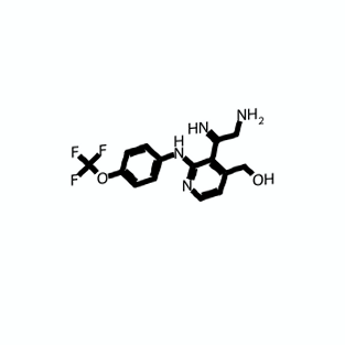 N=C(CN)c1c(CO)ccnc1Nc1ccc(OC(F)(F)F)cc1